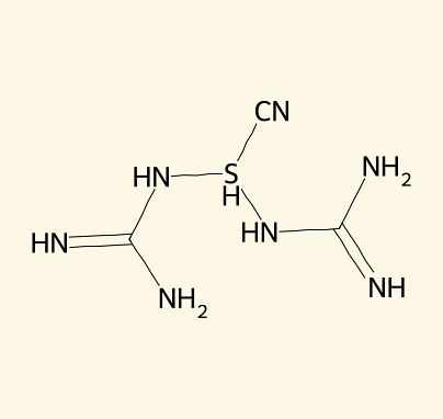 N#C[SH](NC(=N)N)NC(=N)N